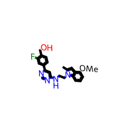 COc1cccc2c1cc(C)n2CCNc1cc(-c2ccc(CO)c(F)c2)ncn1